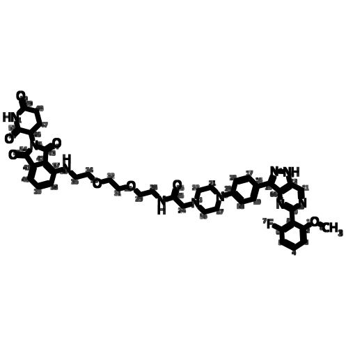 COc1cccc(F)c1-c1ncc2[nH]nc(-c3ccc(N4CCN(CC(=O)NCCOCCOCCNc5cccc6c5C(=O)N(C5CCC(=O)NC5=O)C6=O)CC4)cc3)c2n1